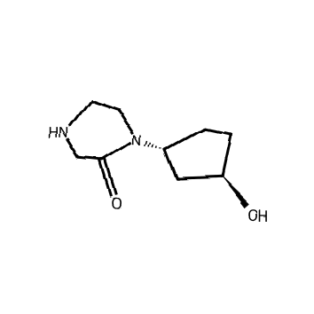 O=C1CNCCN1[C@@H]1CC[C@@H](O)C1